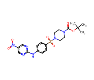 CC(C)(C)OC(=O)N1CCN(S(=O)(=O)c2ccc(Nc3ncc([N+](=O)[O-])cn3)cc2)CC1